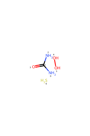 NC(N)=O.OO.S